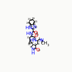 C/N=C\C(CC1CCNC1=O)NC(=O)C(CC1CC1)NC(=O)c1nc2ccccc2[nH]1